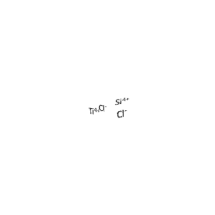 [Cl-].[Cl-].[Si+4].[Ti+4]